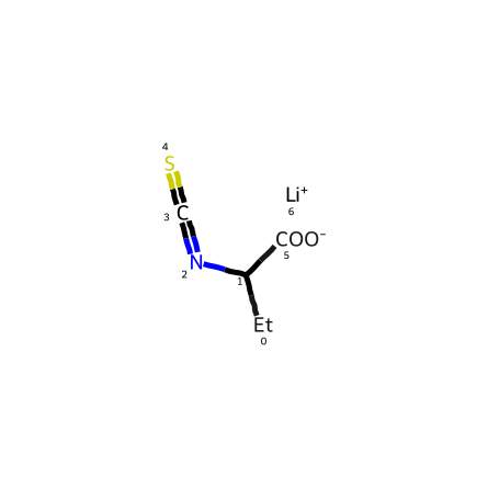 CCC(N=C=S)C(=O)[O-].[Li+]